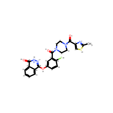 Cc1nc(C(=O)N2CCN(C(=O)c3cc(Oc4n[nH]c(=O)c5ccccc45)ccc3F)CC2)cs1